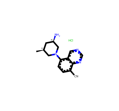 C[C@H]1C[C@@H](N)CN(c2ccc(C#N)c3ncncc23)C1.Cl